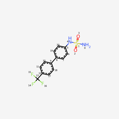 NS(=O)(=O)Nc1ccc(-c2ccc(C(F)(F)F)cc2)cc1